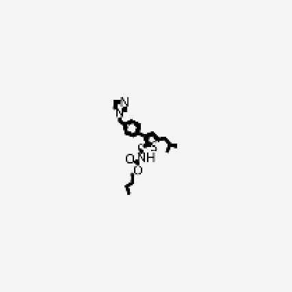 CCCCOC(=O)NSc1sc(CC(C)C)cc1-c1ccc(Cn2ccnc2)cc1